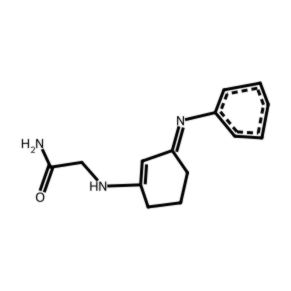 NC(=O)CNC1=CC(=Nc2ccccc2)CCC1